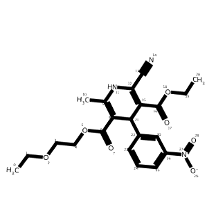 CCOCCOC(=O)C1=C(C)NC(C#N)=C(C(=O)OCC)C1c1cccc([N+](=O)[O-])c1